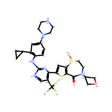 O=C1c2sc(-c3nc(Nc4ccc(N5CCNCC5)cc4C4CC4)ncc3C(F)(F)F)cc2[S+]([O-])CCN1C1COC1